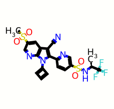 C[C@H](NS(=O)(=O)c1ccc(-c2c(C#N)c3cc(S(C)(=O)=O)cnc3n2C2=CC=C2)nc1)C(F)(F)F